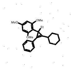 CCC1(c2c(OC)cc(OC)cc2OC)C(c2ccccc2)=C1C1CCCCC1